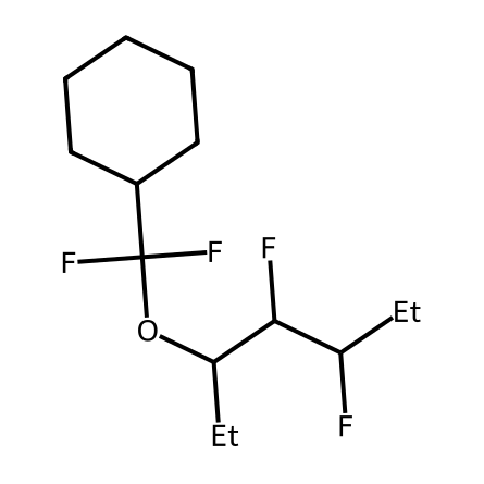 CCC(F)C(F)C(CC)OC(F)(F)C1CCCCC1